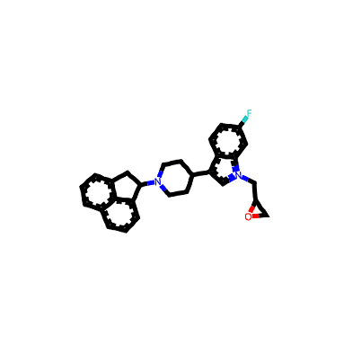 Fc1ccc2c(C3CCN(C4Cc5cccc6cccc4c56)CC3)cn(CC3CO3)c2c1